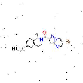 CC1c2ccc(C(=O)O)cc2CCN1C(=O)c1cc2ncc(Br)cn2n1